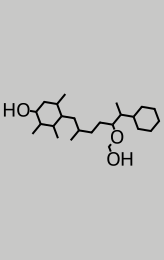 CC(CCC(OCO)C(C)C1CCCCC1)CC1C(C)CC(O)C(C)C1C